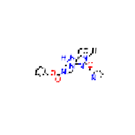 CN1CCC[C@H]1COc1nc(C(=O)O)c(N)c(N2CCN(C(=O)OCc3ccccc3)CC2)n1